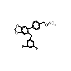 O=[N+]([O-])OCc1ccc(-c2cc3c(cc2Cc2cc(F)cc(F)c2)OCO3)cc1